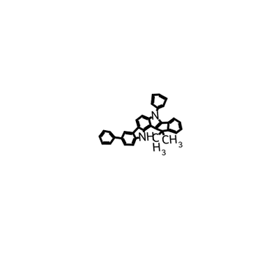 CC1(C)c2ccccc2-c2c1c1c3[nH]c4ccc(-c5ccccc5)cc4c3ccc1n2-c1ccccc1